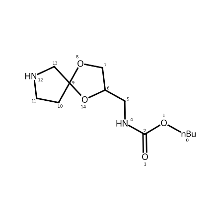 CCCCOC(=O)NCC1COC2(CCNC2)O1